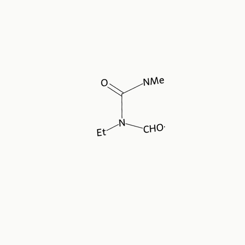 CCN([C]=O)C(=O)NC